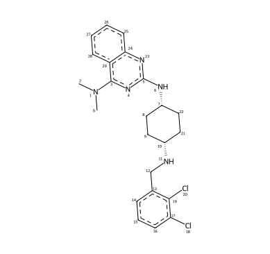 CN(C)c1nc(N[C@H]2CC[C@@H](NCc3cccc(Cl)c3Cl)CC2)nc2ccccc12